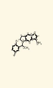 CC(c1cc(F)ccc1F)N1CCc2cn3ncc(N)c3nc21